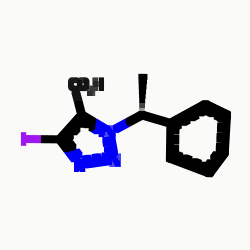 C[C@H](c1ccccc1)n1nnc(I)c1C(=O)O